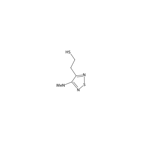 CNc1nsnc1CCS